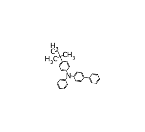 CCC(C)(C)c1ccc(N(c2ccccc2)c2ccc(-c3ccccc3)cc2)cc1